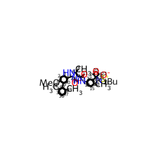 COc1ccc(-c2[nH]c(C)c(C(=O)Nc3cccc(C4(N(C)[S+]([O-])C(C)(C)C)COC4)c3)[n+]2[O-])cc1-c1c(C)cccc1C